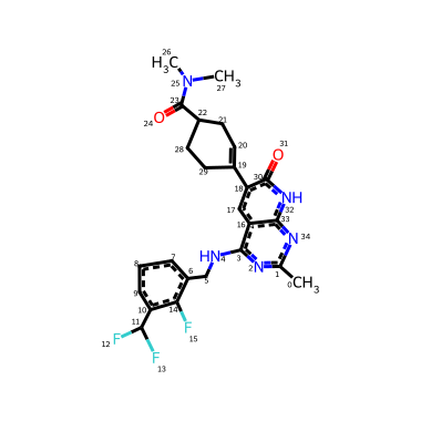 Cc1nc(NCc2cccc(C(F)F)c2F)c2cc(C3=CCC(C(=O)N(C)C)CC3)c(=O)[nH]c2n1